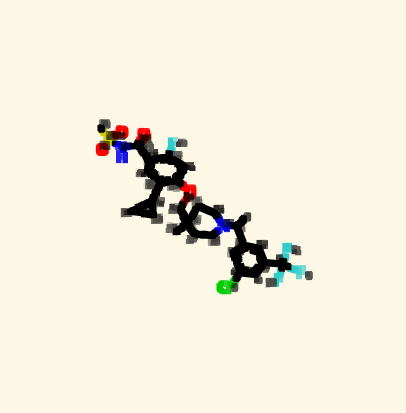 CC(c1cc(Cl)cc(C(F)(F)F)c1)N1CCC(C)(COc2cc(F)c(C(=O)NS(C)(=O)=O)cc2C2CC2)CC1